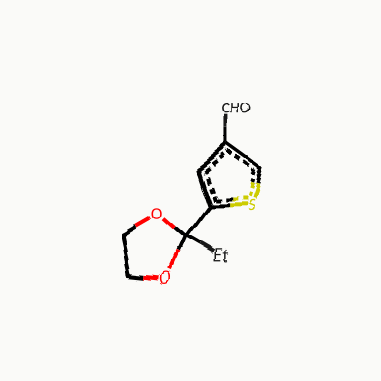 CCC1(c2cc(C=O)cs2)OCCO1